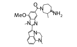 COc1cc(C(=O)N2CCC[C@@H](N)C(C)C2)cc2nc(-c3cc4cccc5c4n3CCN5C)n(C)c12